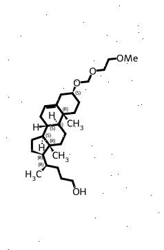 COCCOCO[C@H]1CC[C@@]2(C)C(=CC[C@H]3[C@@H]4CC[C@H]([C@H](C)CCCO)[C@@]4(C)CC[C@@H]32)C1